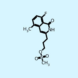 Cc1ccc(F)c2c(=O)[nH]c(CCCOS(C)(=O)=O)cc12